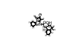 Cc1c(NC(=O)NC2c3ccccc3C(C)(C)CC2O)n(-c2ccccc2)n(C)c1=O